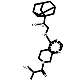 CC(N)C(=O)N1CCc2c(ncnc2NC[C@@H](O)C23CC4CC(CC(C4)C2)C3)C1